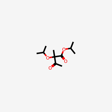 CC(=O)C(C)(OC(C)C)C(=O)OC(C)C